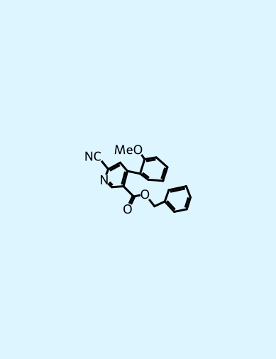 COc1ccccc1-c1cc(C#N)ncc1C(=O)OCc1ccccc1